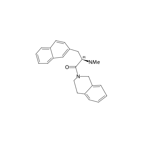 CN[C@H](Cc1ccc2ccccc2c1)C(=O)N1CCc2ccccc2C1